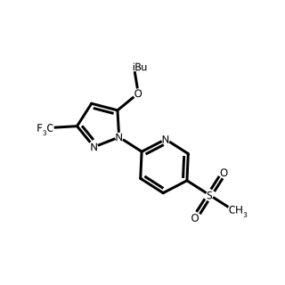 CCC(C)Oc1cc(C(F)(F)F)nn1-c1ccc(S(C)(=O)=O)cn1